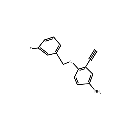 C#Cc1cc(N)ccc1OCc1cccc(F)c1